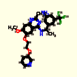 COc1cc2nc(C)nc(N[C@H](C)c3cc(N)cc(C(F)(F)F)c3)c2cc1OCCOc1cccnc1